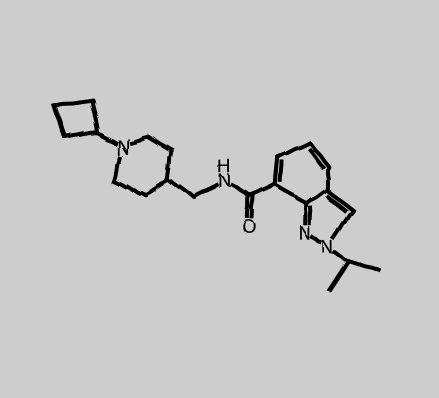 CC(C)n1cc2cccc(C(=O)NCC3CCN(C4CCC4)CC3)c2n1